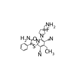 CCc1c(C#N)c(S[C@@H](C(N)=O)c2ccccc2)nc(N2CC[C@](F)(CN)C2)c1C#N